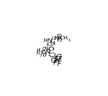 CC1(C)C(=O)N(c2ccc(S(=O)(=O)C(F)(F)F)cc2)C(=O)N1Cc1ccnc(NC2CCN(S(C)(=O)=O)C2)c1